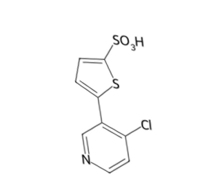 O=S(=O)(O)c1ccc(-c2cnccc2Cl)s1